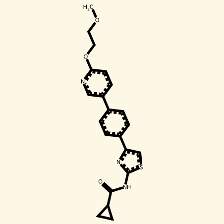 COCCOc1ccc(-c2ccc(-c3csc(NC(=O)C4CC4)n3)cc2)cn1